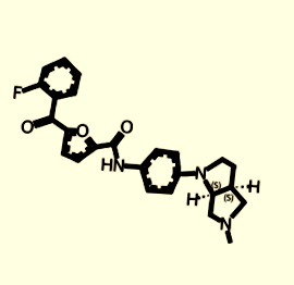 CN1C[C@@H]2CCN(c3ccc(NC(=O)c4ccc(C(=O)c5ccccc5F)o4)cc3)[C@@H]2C1